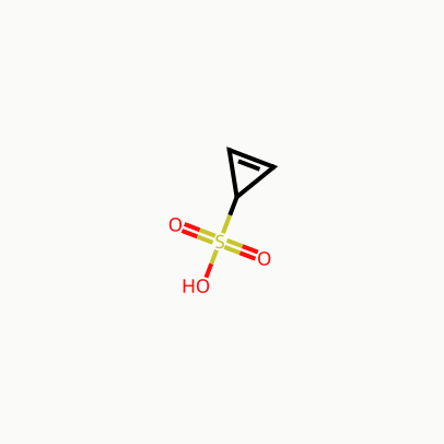 O=S(=O)(O)C1C=C1